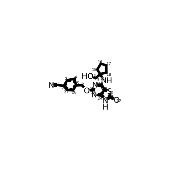 N#Cc1ccc(COc2nc(NC3(CO)CCCC3)c3sc(=O)[nH]c3n2)cc1